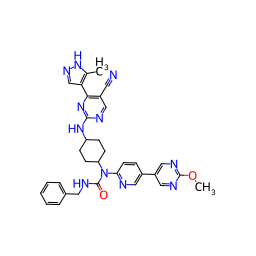 COc1ncc(-c2ccc(N(C(=O)NCc3ccccc3)C3CCC(Nc4ncc(C#N)c(-c5cn[nH]c5C)n4)CC3)nc2)cn1